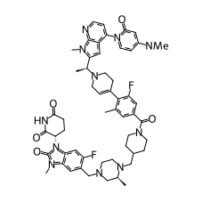 CNc1ccn(-c2ccnc3c2cc([C@H](C)N2CC=C(c4c(C)cc(C(=O)N5CCC(CN6CCN(Cc7cc8c(cc7F)n([C@H]7CCC(=O)NC7=O)c(=O)n8C)C[C@@H]6C)CC5)cc4F)CC2)n3C)c(=O)c1